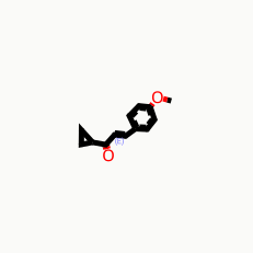 COc1ccc(/C=C/C(=O)C2CC2)cc1